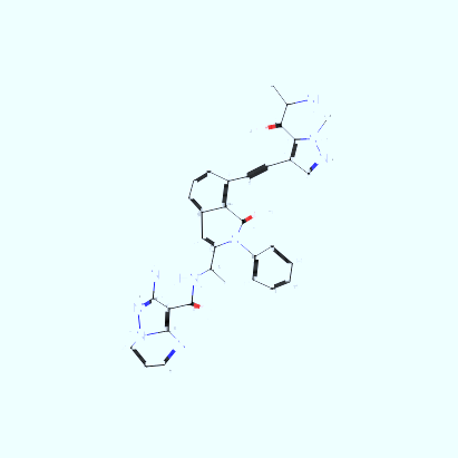 CC(N)C(=O)c1c(C#Cc2cccc3cc(C(C)NC(=O)c4c(N)nn5cccnc45)n(-c4ccccc4)c(=O)c23)cnn1C